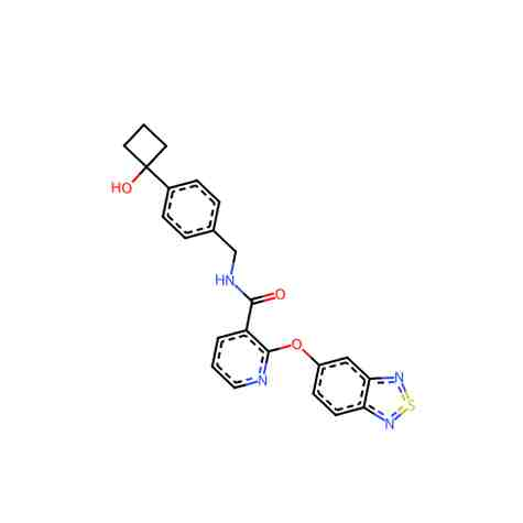 O=C(NCc1ccc(C2(O)CCC2)cc1)c1cccnc1Oc1ccc2nsnc2c1